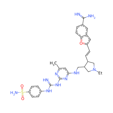 CCN1CC(/C=C/c2cc3cc(C(=N)N)ccc3o2)C(CNc2cc(C)nc(NC(=N)Nc3ccc(S(N)(=O)=O)cc3)n2)C1